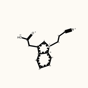 N#CCCn1cc(CC(=O)O)c2ccccc21